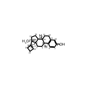 C[C@]12CC[C@@H]3c4ccc(O)cc4CC[C@H]3[C@@H]1CC[C@]2(C)C1CCC1